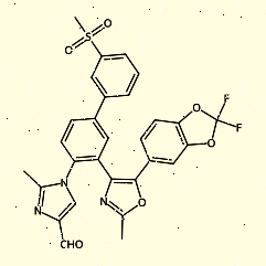 Cc1nc(-c2cc(-c3cccc(S(C)(=O)=O)c3)ccc2-n2cc(C=O)nc2C)c(-c2ccc3c(c2)OC(F)(F)O3)o1